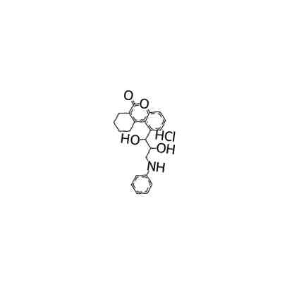 Cl.O=c1oc2cccc(C(O)C(O)CNc3ccccc3)c2c2c1CCCC2